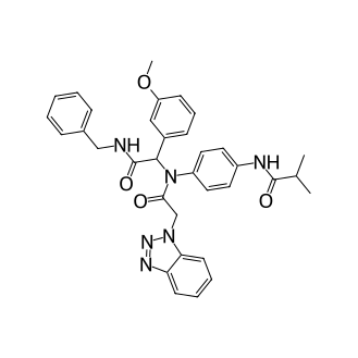 COc1cccc(C(C(=O)NCc2ccccc2)N(C(=O)Cn2nnc3ccccc32)c2ccc(NC(=O)C(C)C)cc2)c1